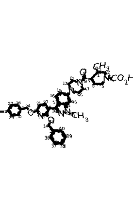 C[C@H]1CN(C(=O)O)CC[C@@H]1C(=O)N1CCN(c2ccc3c(-c4ccc(OCc5ccccc5)nc4OCc4ccccc4)nn(C)c3c2)CC1